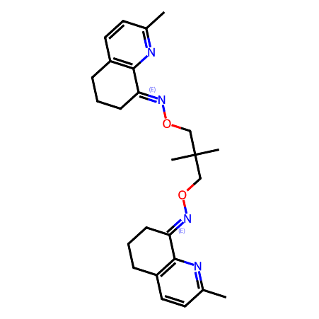 Cc1ccc2c(n1)/C(=N/OCC(C)(C)CO/N=C1\CCCc3ccc(C)nc31)CCC2